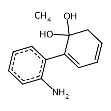 C.Nc1ccccc1C1=CC=CCC1(O)O